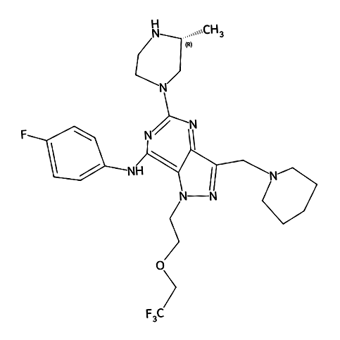 C[C@@H]1CN(c2nc(Nc3ccc(F)cc3)c3c(n2)c(CN2CCCCC2)nn3CCOCC(F)(F)F)CCN1